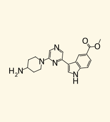 COC(=O)c1ccc2[nH]cc(-c3cncc(N4CCC(N)CC4)n3)c2c1